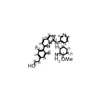 CO[C@@H]1[C@H](N)C[C@H](c2ccncc2Nc2ncc3ccc(-c4c(F)cc(CCO)cc4F)nn23)C[C@@H]1C